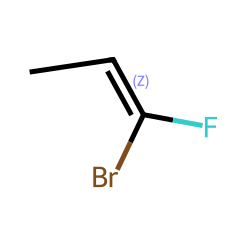 C/C=C(/F)Br